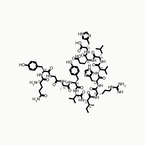 CC[C@H](C)[C@H](NC(=O)[C@@H](NC(=O)[C@H](Cc1ccc(O)cc1)NC(=O)[C@H](C)NC(=O)CNC(=O)[C@H](Cc1ccc(O)cc1)NC(=O)[C@@H](N)CCC(N)=O)C(C)C)C(=O)N[C@@H](CCCNC(=N)N)C(=O)N[C@@H](Cc1c[nH]cn1)C(=O)N[C@H](C(=O)N[C@@H](CC(C)C)C(=O)N[C@@H](CCC(=O)O)C(=O)N[C@@H](Cc1c[nH]cn1)C(=O)O)C(C)C